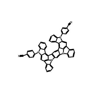 N#Cc1ccc(-n2c3ccccc3c3c4c5cc6c7c8c9ccccc9n(-c9ccc(C#N)cc9)c8cc8c9ccccc9n(c6cc5n5c6ccccc6c(cc32)c45)c87)cc1